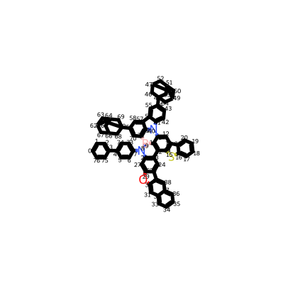 c1ccc(-c2ccc(N3B4c5c(cc6c(sc7ccccc76)c5-c5cc6c(cc53)oc3cc5ccccc5cc36)-n3c5ccc(C67CC8CC(CC(C8)C6)C7)cc5c5cc(C67CC8CC(CC(C8)C6)C7)cc4c53)cc2)cc1